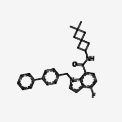 CC1(C)CC2(CC(NC(=O)c3ccc(F)c4ccn(Cc5ccc(-c6ccccc6)cc5)c34)C2)C1